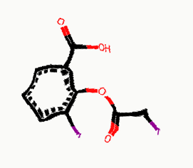 O=C(CI)Oc1c(I)cccc1C(=O)O